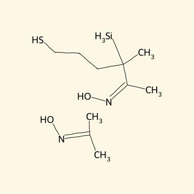 CC(=NO)C(C)([SiH3])CCCS.CC(C)=NO